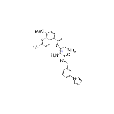 C=C(O/C(CN)=C(\N)C(=O)NCc1cccc(-n2cccc2)c1)c1ccc(OC)c2nc(C(F)(F)F)ccc12